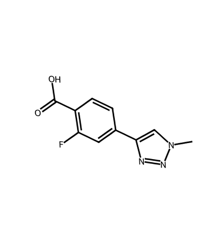 Cn1cc(-c2ccc(C(=O)O)c(F)c2)nn1